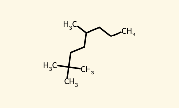 CCCC(C)CCC(C)(C)C